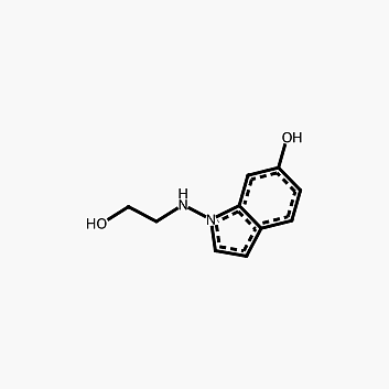 OCCNn1ccc2ccc(O)cc21